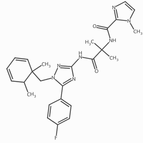 CC1C=CC=CC1(C)Cn1nc(NC(=O)C(C)(C)NC(=O)c2nccn2C)nc1-c1ccc(F)cc1